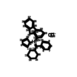 C1=C[CH]([Hf+2](=[C](c2ccccc2)C2CCCCC2)[c]2cccc3c2Cc2ccccc2-3)C=C1.[Cl-].[Cl-]